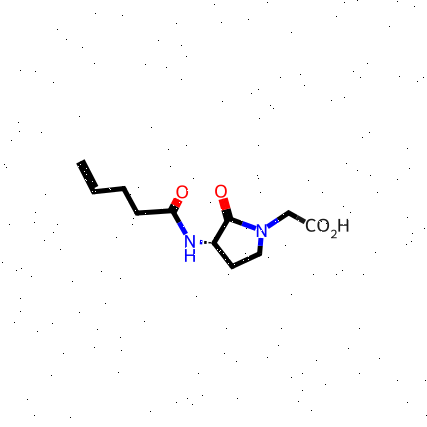 C=CCCC(=O)N[C@H]1CCN(CC(=O)O)C1=O